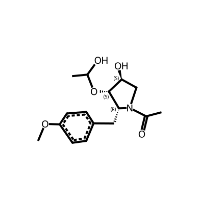 COc1ccc(C[C@@H]2[C@H](OC(C)O)[C@@H](O)CN2C(C)=O)cc1